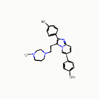 COc1ccc(-c2ccc3nc(-c4ccc(C#N)cc4)c(CCN4CCCN(C)CC4)n3c2)cc1